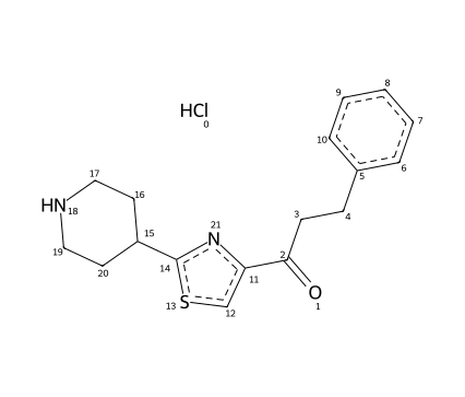 Cl.O=C(CCc1ccccc1)c1csc(C2CCNCC2)n1